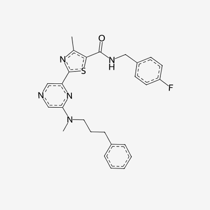 Cc1nc(-c2cncc(N(C)CCCc3ccccc3)n2)sc1C(=O)NCc1ccc(F)cc1